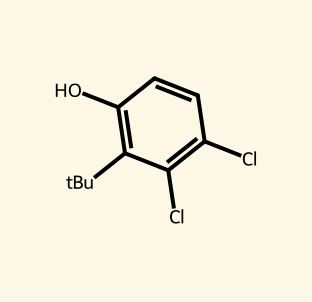 CC(C)(C)c1c(O)ccc(Cl)c1Cl